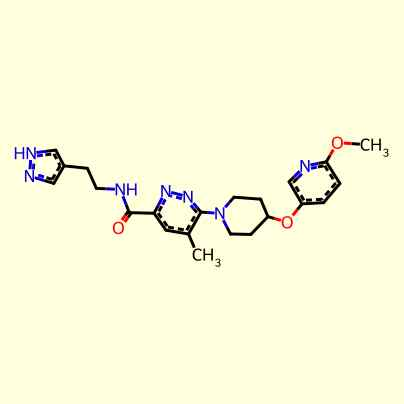 COc1ccc(OC2CCN(c3nnc(C(=O)NCCc4cn[nH]c4)cc3C)CC2)cn1